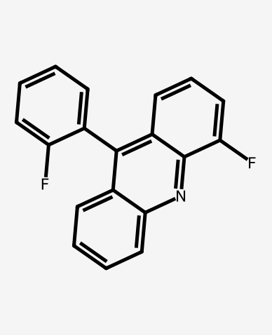 Fc1ccccc1-c1c2ccccc2nc2c(F)cccc12